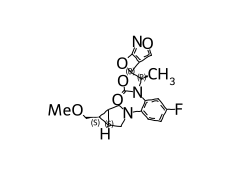 COC[C@H]1C2CN(c3ccc(F)cc3N3C(=O)O[C@@]4(Oc5nocc54)[C@H]3C)C[C@@H]21